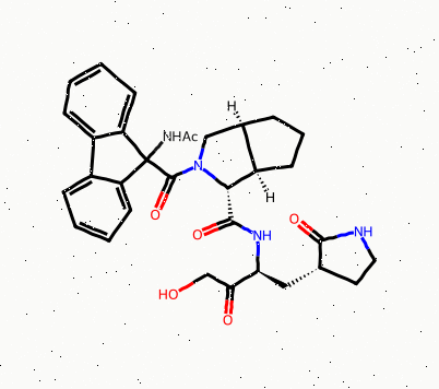 CC(=O)NC1(C(=O)N2C[C@H]3CCC[C@H]3[C@@H]2C(=O)N[C@@H](C[C@H]2CCNC2=O)C(=O)CO)c2ccccc2-c2ccccc21